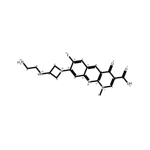 Cn1cc(C(=O)O)c(=O)c2cc3cc(F)c(N4CC(NCCN)C4)cc3nc21